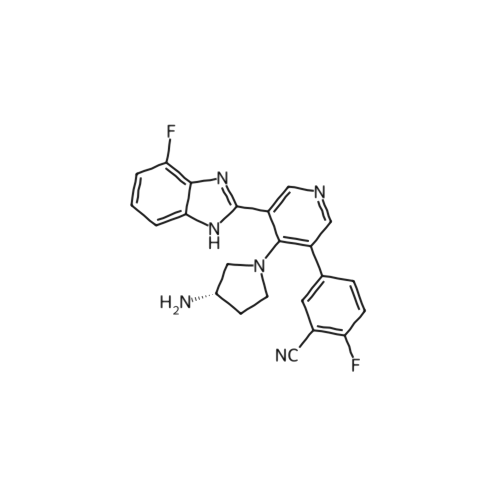 N#Cc1cc(-c2cncc(-c3nc4c(F)cccc4[nH]3)c2N2CC[C@H](N)C2)ccc1F